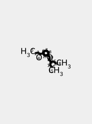 CCCC(=O)c1cccc(OCC(CCC)CCC)c1